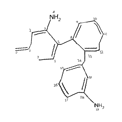 C=C/C=C(N)\C(=C/C)c1ccccc1-c1cccc(N)c1